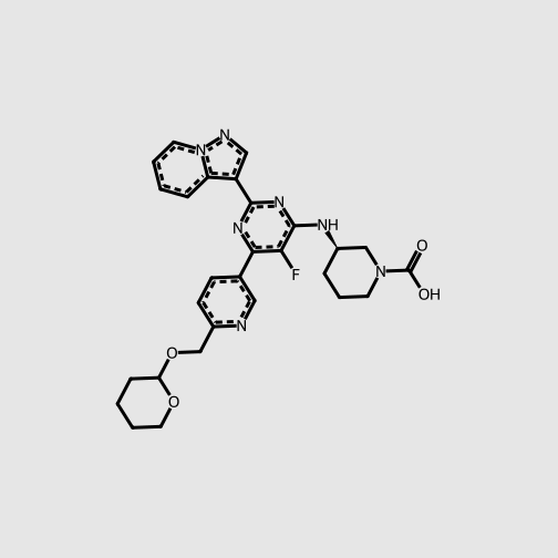 O=C(O)N1CCC[C@@H](Nc2nc(-c3cnn4ccccc34)nc(-c3ccc(COC4CCCCO4)nc3)c2F)C1